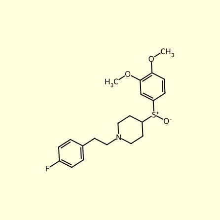 COc1ccc([S+]([O-])C2CCN(CCc3ccc(F)cc3)CC2)cc1OC